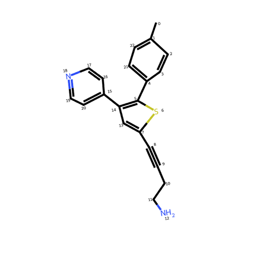 Cc1ccc(-c2sc(C#CCCN)cc2-c2ccncc2)cc1